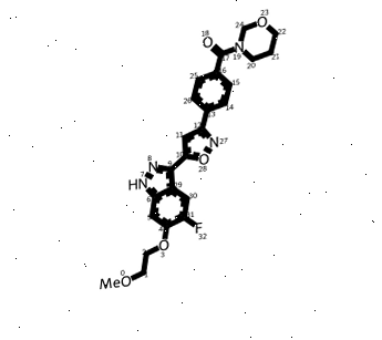 COCCOc1cc2[nH]nc(-c3cc(-c4ccc(C(=O)N5CCCOC5)cc4)no3)c2cc1F